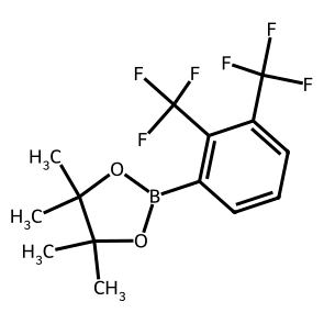 CC1(C)OB(c2cccc(C(F)(F)F)c2C(F)(F)F)OC1(C)C